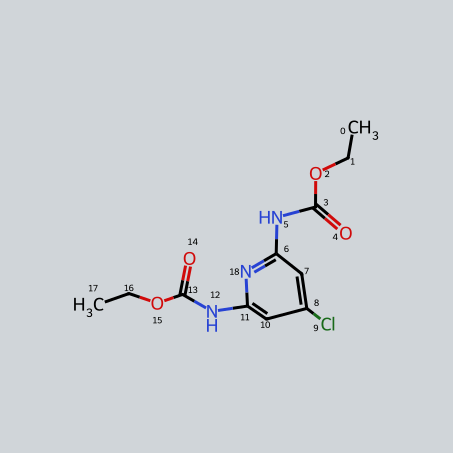 CCOC(=O)Nc1cc(Cl)cc(NC(=O)OCC)n1